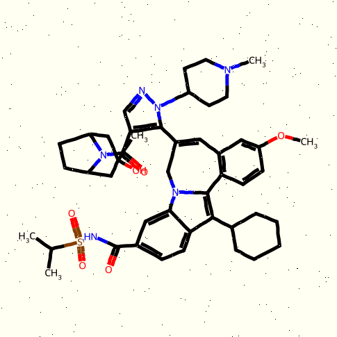 COc1ccc2c(c1)C=C(c1c(C(=O)N3C4CCC3CC(C)(O)C4)cnn1C1CCN(C)CC1)Cn1c-2c(C2CCCCC2)c2ccc(C(=O)NS(=O)(=O)C(C)C)cc21